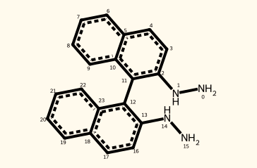 NNc1ccc2ccccc2c1-c1c(NN)ccc2ccccc12